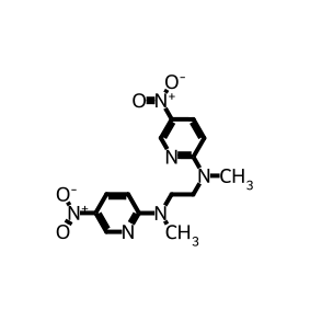 CN(CCN(C)c1ccc([N+](=O)[O-])cn1)c1ccc([N+](=O)[O-])cn1